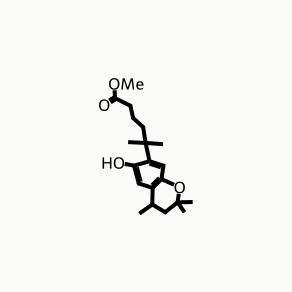 COC(=O)CCCC(C)(C)c1cc2c(cc1O)C(C)CC(C)(C)O2